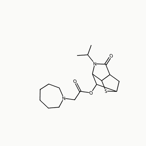 CC(C)N1C(=O)C2CC3SC2C1C3OC(=O)CN1CCCCCC1